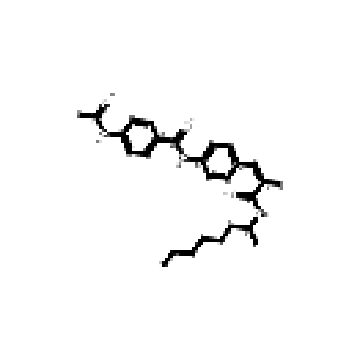 CCCCCCC(C)OC(=O)C(C)=Cc1ccc(OC(=O)c2ccc(OC(C)=O)cc2)cc1